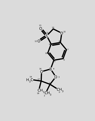 CC1(C)OB(c2ccc3c(c2)S(=O)(=O)CO3)OC1(C)C